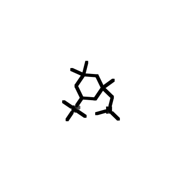 CN(C)CC1(C)CC([N+](C)(C)C)CC(C)(C)C1